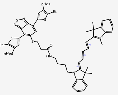 CCCCCCc1cc(-c2cc(SCCC(=O)NCCCCN3/C(=C/C=C/C=C/C4=[N+](C)c5ccccc5C4(C)C)C(C)(C)c4ccccc43)c(-c3cc(CCCCCC)c(CC)s3)c3nsnc23)sc1CC